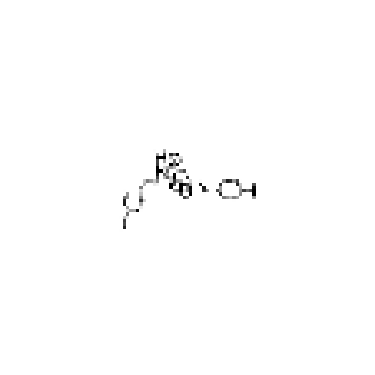 O=C(C=Cc1ccc(I)cc1)CS(=O)(=O)N/C=C/c1ccc(I)cc1